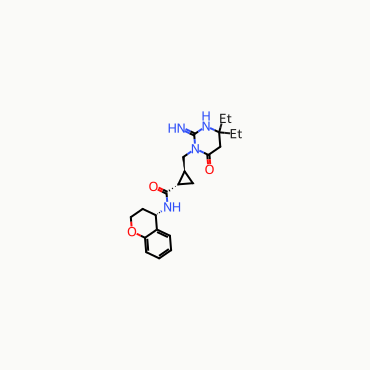 CCC1(CC)CC(=O)N(C[C@H]2C[C@@H]2C(=O)N[C@H]2CCOc3ccccc32)C(=N)N1